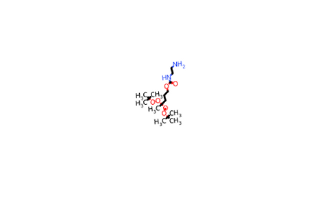 CC(C)(C)OOC(C)(CCCOC(=O)NCCN)OOC(C)(C)C